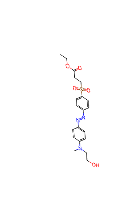 CCOC(=O)CCS(=O)(=O)c1ccc(N=Nc2ccc(N(C)CCO)cc2)cc1